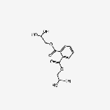 O=C(OCC(O)O)c1ccccc1C(=O)OCC(O)O